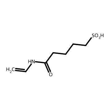 C=CNC(=O)CCCCS(=O)(=O)O